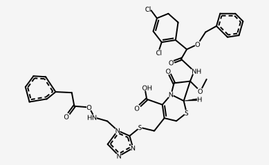 COC1(NC(=O)C(OCc2ccccc2)C2=C(Cl)C=C(Cl)CC2)C(=O)N2C(C(=O)O)=C(CSc3nncn3CNOC(=O)Cc3ccccc3)CS[C@H]21